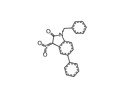 O=C1C(=S(=O)=O)c2cc(-c3ccccc3)ccc2N1Cc1ccccc1